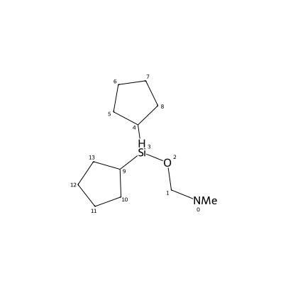 CNCO[SiH](C1CCCC1)C1CCCC1